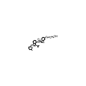 Cc1cccc(Cn2nc(C3CC3)c3c(NC(=O)c4cnc5cc(OCCOCCO)ccn45)cccc32)n1